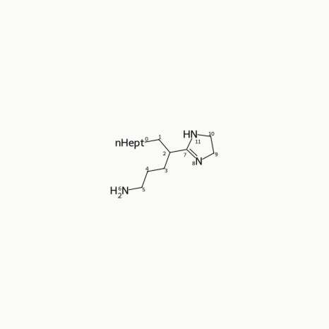 CCCCCCCCC(CCCN)C1=NCCN1